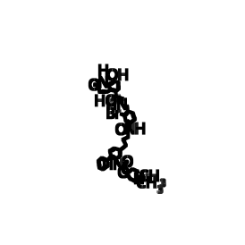 C[N+]1(C)CCC(OC(=O)Nc2cc(CCCC(=O)Nc3ccc(CNC[C@@H](O)c4ccc(O)c5[nH]c(=O)ccc45)c(Br)c3)ccc2-c2ccccc2)CC1